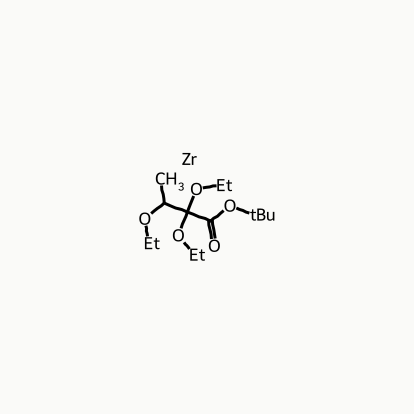 CCOC(C)C(OCC)(OCC)C(=O)OC(C)(C)C.[Zr]